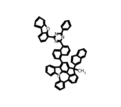 CC1(c2ccc3ccccc3c2)c2cccc3c2-c2c1cc(-c1cccc4c(-c5nc(-c6ccccc6)nc(-c6cccc7c6oc6ccccc67)n5)cccc14)c1c4ccccc4n(c21)-c1ccccc1-3